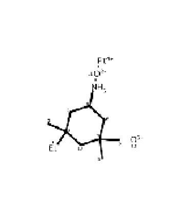 CCC1(C)CC(N)CC(C)(C)C1.[O-2].[O-2].[Pt+4]